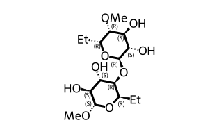 CC[C@H]1O[C@H](O[C@@H]2[C@@H](O)[C@H](O)[C@@H](OC)O[C@@H]2CC)[C@@H](O)[C@H](O)[C@H]1OC